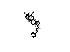 CO[C@@H]1C[C@H]2[C@@H]3CC[C@H]([C@H](C)/C=C/c4ccncc4)[C@@]3(C)CC[C@@H]2[C@@]2(C)CC[C@@H]3CC312